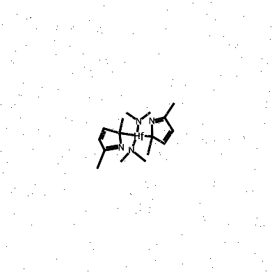 CC1=N[C](C)([Hf]([N](C)C)([N](C)C)[C]2(C)C=CC(C)=N2)C=C1